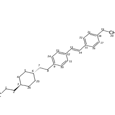 CCC[C@H]1CC[C@H](CCc2ccc(C=Cc3ccc(CC)cc3)cc2)CC1